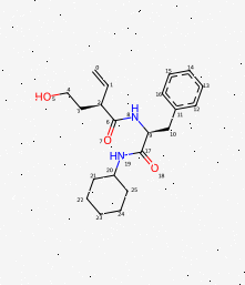 C=C[C@H](CCO)C(=O)N[C@@H](Cc1ccccc1)C(=O)NC1CCCCC1